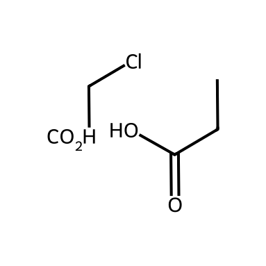 CCC(=O)O.O=C(O)CCl